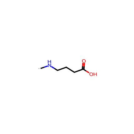 [CH2]NCCCC(=O)O